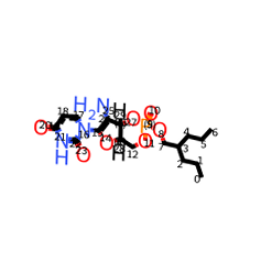 CCCC(CCC)CO[P@@]1(=O)OC[C@H]2OC(n3ccc(=O)[nH]c3=O)=C(N)[C@@H]2O1